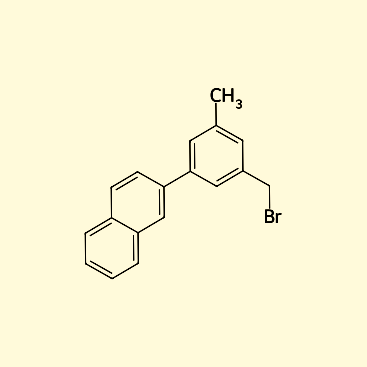 Cc1cc(CBr)cc(-c2ccc3ccccc3c2)c1